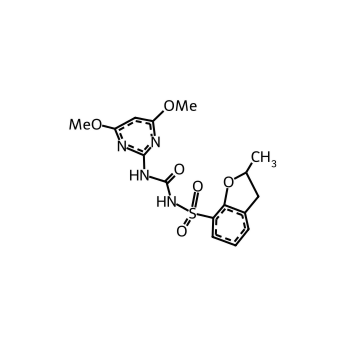 COc1cc(OC)nc(NC(=O)NS(=O)(=O)c2cccc3c2OC(C)C3)n1